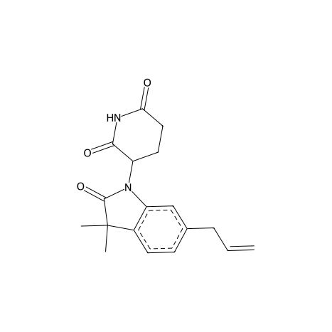 C=CCc1ccc2c(c1)N(C1CCC(=O)NC1=O)C(=O)C2(C)C